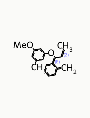 C=c1cccc/c1=C(/C=C\C)Oc1cc(C)cc(OC)c1